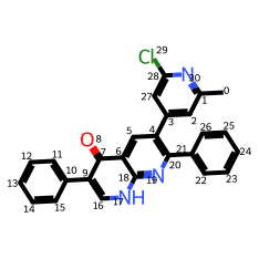 Cc1cc(-c2cc3c(=O)c(-c4ccccc4)c[nH]c3nc2-c2ccccc2)cc(Cl)n1